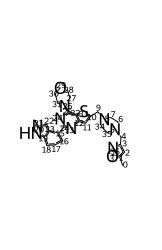 Cc1cc(CN2CCN(Cc3cc4nc(-c5cccc6[nH]ncc56)nc(N5CCOCC5)c4s3)CC2)no1